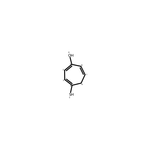 OC1=CC=C(S)CC=C1